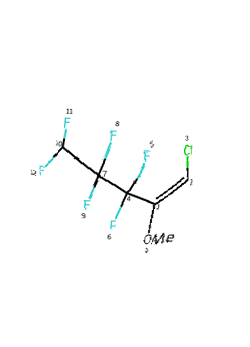 COC(=CCl)C(F)(F)C(F)(F)C(F)F